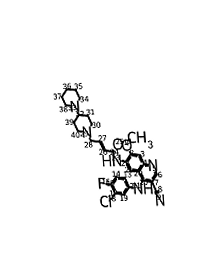 COc1cc2ncc(C#N)c(Nc3ccc(F)c(Cl)c3)c2cc1NC(=O)C=CCN1CCC(N2CCCCC2)CC1